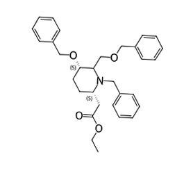 CCOC(=O)C[C@@H]1CC[C@H](OCc2ccccc2)C(COCc2ccccc2)N1Cc1ccccc1